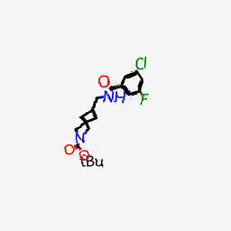 CC(C)(C)OC(=O)N1CC2(CC(CNC(=O)c3cc(F)cc(Cl)c3)C2)C1